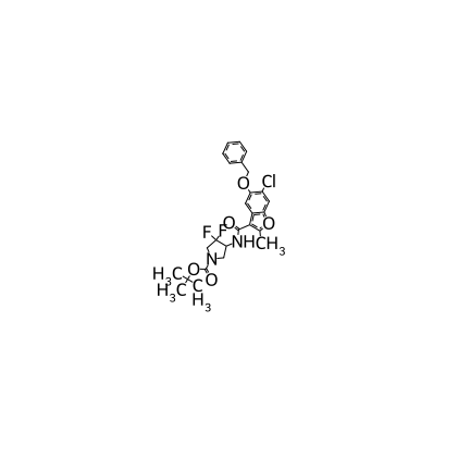 Cc1oc2cc(Cl)c(OCc3ccccc3)cc2c1C(=O)NC1CN(C(=O)OC(C)(C)C)CC1(F)F